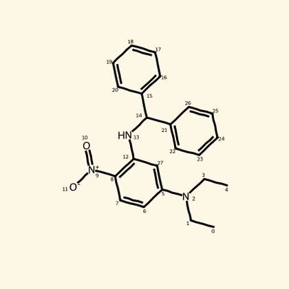 CCN(CC)c1ccc([N+](=O)[O-])c(NC(c2ccccc2)c2ccccc2)c1